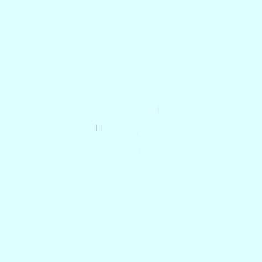 CS(=O)O.[Li]